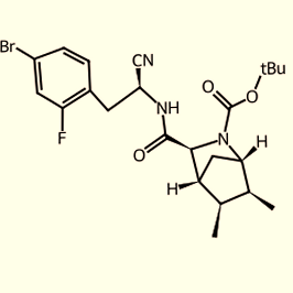 C[C@@H]1[C@H](C)[C@@H]2C[C@H]1[C@@H](C(=O)N[C@H](C#N)Cc1ccc(Br)cc1F)N2C(=O)OC(C)(C)C